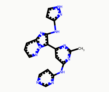 Cc1nc(Nc2ccncn2)cc(-c2c(Nc3cc[nH]n3)nc3cccnn23)n1